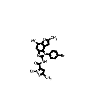 CCn1nc(C)cc1C(=O)Nc1nc2cc(C#N)c3oc(C)cc3c2n1-c1ccc(Br)cc1